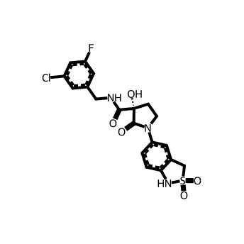 O=C(NCc1cc(F)cc(Cl)c1)[C@@]1(O)CCN(c2ccc3c(c2)CS(=O)(=O)N3)C1=O